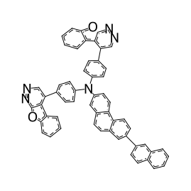 c1ccc2cc(-c3ccc4c(ccc5cc(N(c6ccc(-c7cnnc8oc9ccccc9c78)cc6)c6ccc(-c7cnnc8oc9ccccc9c78)cc6)ccc54)c3)ccc2c1